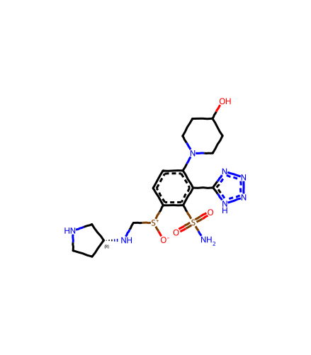 NS(=O)(=O)c1c([S+]([O-])CN[C@@H]2CCNC2)ccc(N2CCC(O)CC2)c1-c1nnn[nH]1